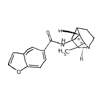 C[C@H]1[C@H](NC(=O)c2ccc3occc3c2)C2CCN1CC2